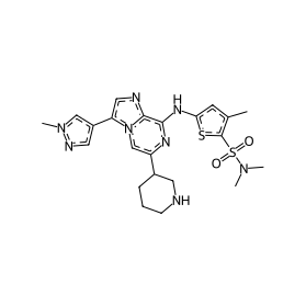 Cc1cc(Nc2nc(C3CCCNC3)cn3c(-c4cnn(C)c4)cnc23)sc1S(=O)(=O)N(C)C